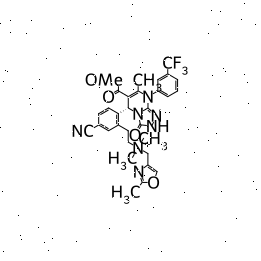 COC(=O)C1=C(C)N(c2cccc(C(F)(F)F)c2)c2n[nH]c(=O)n2[C@@H]1c1ccc(C#N)cc1CC[N+](C)(C)Cc1coc(C)n1